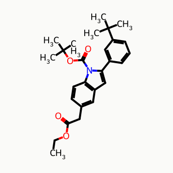 CCOC(=O)Cc1ccc2c(c1)cc(-c1cccc(C(C)(C)C)c1)n2C(=O)OC(C)(C)C